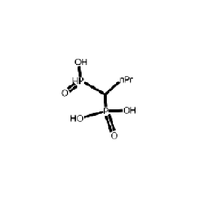 CCCC([PH](=O)O)P(=O)(O)O